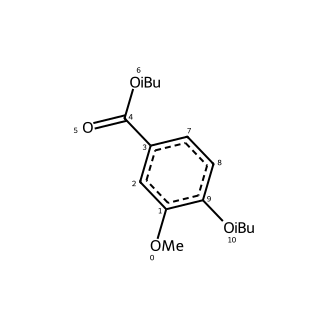 COc1cc(C(=O)OCC(C)C)ccc1OCC(C)C